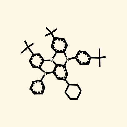 CC(C)(C)c1ccc(N2c3ccc(C(C)(C)C)cc3B3c4cc(C(C)(C)C)ccc4N(c4ccccc4)c4cc(C5CCCCC5)cc2c43)cc1